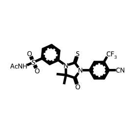 CC(=O)NS(=O)(=O)c1cccc(N2C(=S)N(c3ccc(C#N)c(C(F)(F)F)c3)C(=O)C2(C)C)c1